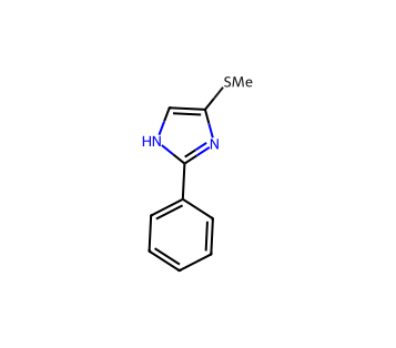 CSc1c[nH]c(-c2ccccc2)n1